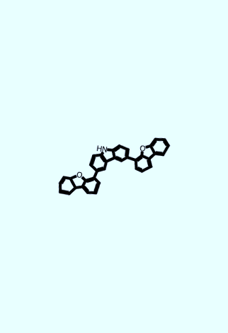 C1=CC2Oc3c(-c4ccc5[nH]c6ccc(-c7cccc8c7oc7ccccc78)cc6c5c4)cccc3C2C=C1